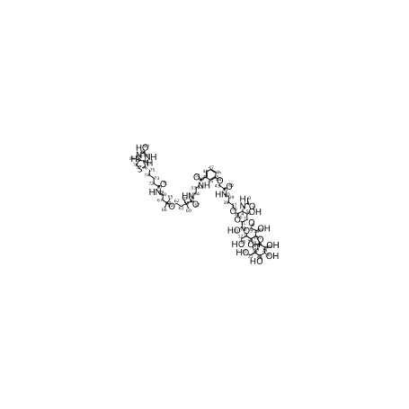 CC(=O)NC1C(O)[C@H](O[C@@H]2OC(CO)[C@H](O)C(O[C@H]3OC(CO)[C@H](O)C(O)C3O)C2O)C(CO)O[C@H]1OCCCNC(=O)COc1cccc(C(=O)NCCNC(=O)C(C)(C)CCOC(C)(C)CCNC(=O)CCCC[C@@H]2SC[C@@H]3NC(=O)N[C@@H]32)c1